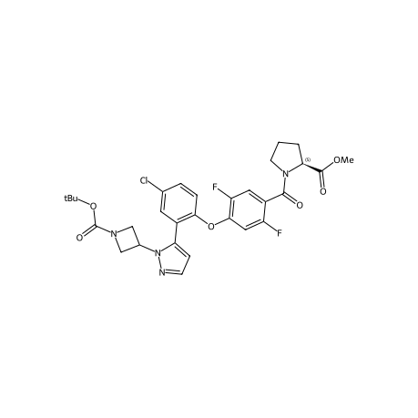 COC(=O)[C@@H]1CCCN1C(=O)c1cc(F)c(Oc2ccc(Cl)cc2-c2ccnn2C2CN(C(=O)OC(C)(C)C)C2)cc1F